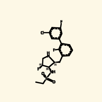 CCS(=O)(=O)N[C@@H]1[C@H](Cc2cccc(-c3cc(F)cc(Cl)c3)c2F)NC[C@@H]1F